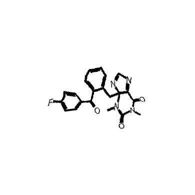 CN1C(=O)C2=NC=NC2(Cc2ccccc2C(=O)c2ccc(F)cc2)N(C)C1=O